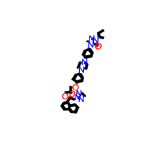 CCC(C)n1ncn(-c2ccc(N3CCN(c4ccc(OCC5COC(Cn6nccn6)(c6cccc7ccccc67)O5)cc4)CC3)cc2)c1=O